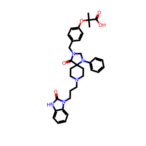 CC(C)(Oc1ccc(CN2CN(c3ccccc3)C3(CCN(CCCn4c(=O)[nH]c5ccccc54)CC3)C2=O)cc1)C(=O)O